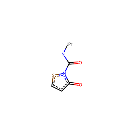 CC(C)NC(=O)n1sccc1=O